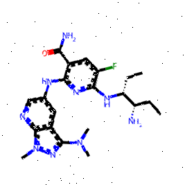 CC[C@H](N)[C@@H](CC)Nc1nc(Nc2cnc3c(c2)c(N(C)C)nn3C)c(C(N)=O)cc1F